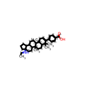 CCNC12CCCC1C1CCC3C(C)(CCC4C(C)(C)C(c5ccc(C(=O)O)cc5)=CCC43C)C1CC2